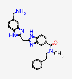 CN(CCc1ccccc1)C(=O)c1ccc2[nH]c(Cc3nc4cc(CN)ccc4[nH]3)nc2c1